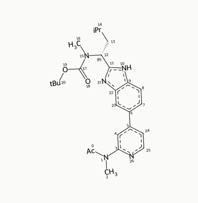 CC(=O)N(C)c1cc(-c2ccc3[nH]c([C@@H](CC(C)C)N(C)C(=O)OC(C)(C)C)nc3c2)ccn1